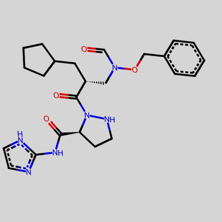 O=CN(C[C@@H](CC1CCCC1)C(=O)N1NCC[C@H]1C(=O)Nc1ncc[nH]1)OCc1ccccc1